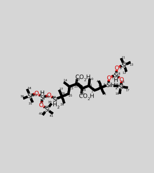 CC(CC(C)(C)[SiH2]O[SiH](O[Si](C)(C)C)O[Si](C)(C)C)C(C(=O)O)=C(C(=O)O)C(C)CC(C)(C)[SiH2]O[SiH](O[Si](C)(C)C)O[Si](C)(C)C